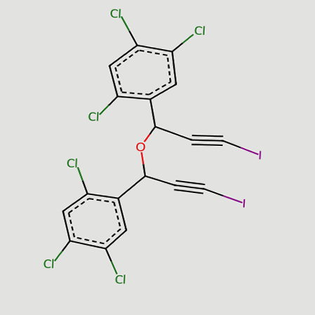 Clc1cc(Cl)c(C(C#CI)OC(C#CI)c2cc(Cl)c(Cl)cc2Cl)cc1Cl